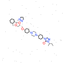 CCC(C)n1ncn(-c2ccc(N3CCN(c4ccc(OC[C@@H]5CO[C@@](Cn6cccn6)(c6ccccc6C)O5)cc4)CC3)cc2)c1=O